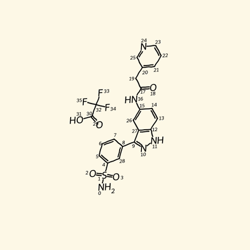 NS(=O)(=O)c1cccc(-c2n[nH]c3ccc(NC(=O)Cc4cccnc4)cc23)c1.O=C(O)C(F)(F)F